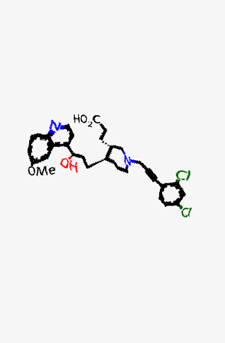 COc1ccc2nccc([C@H](O)CC[C@@H]3CCN(CC#Cc4ccc(Cl)cc4Cl)C[C@H]3CCC(=O)O)c2c1